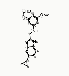 COc1cc(NCc2cn3cc(C4CC4)ccc3n2)cc(NC=O)n1